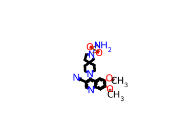 COc1cc2ncc(C#N)c(N3CCC4(CC3)CCN(S(N)(=O)=O)C4)c2cc1OC